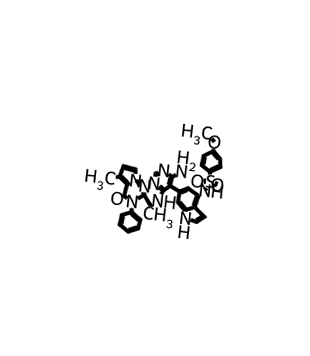 COc1ccc(S(=O)(=O)Nc2cc(-c3c(N)ncnc3NC(C)c3nn4ccc(C)c4c(=O)n3-c3ccccc3)cc3[nH]ccc23)cc1